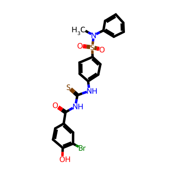 CN(c1ccccc1)S(=O)(=O)c1ccc(NC(=S)NC(=O)c2ccc(O)c(Br)c2)cc1